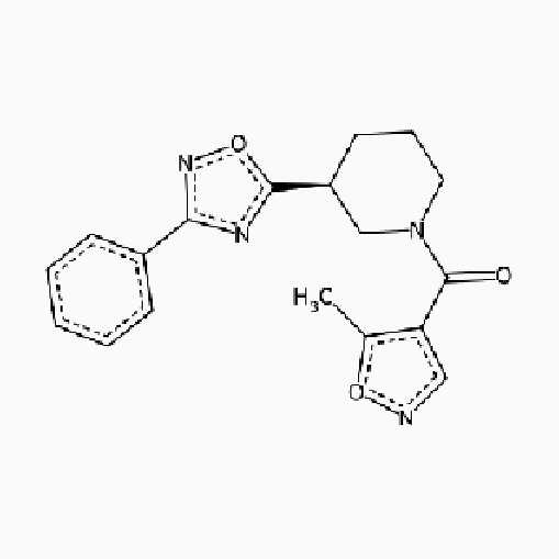 Cc1oncc1C(=O)N1CCC[C@H](c2nc(-c3ccccc3)no2)C1